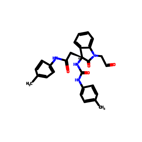 Cc1ccc(NC(=O)C[C@]2(NC(=O)Nc3ccc(C)cc3)C(=O)N(CC=O)c3ccccc32)cc1